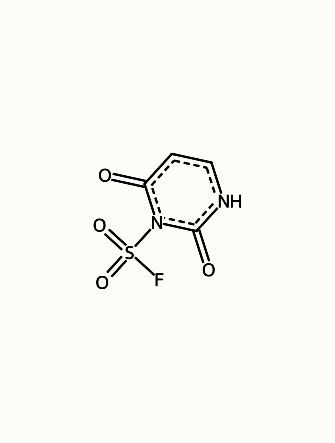 O=c1cc[nH]c(=O)n1S(=O)(=O)F